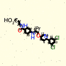 CC(C)[C@@H](COc1ccc(-c2cc(Cl)cc(Cl)c2)nc1)Nc1ccc(C(=O)NC=CC(=O)O)cc1